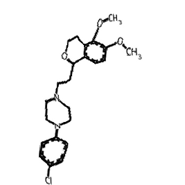 COc1ccc2c(c1OC)CCOC2CCN1CCN(c2ccc(Cl)cc2)CC1